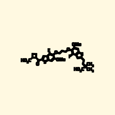 COc1cc2sc(CCC(C)(C)C(=O)O)cc2c(F)c1OCCCOc1c(OC)cc2sc(C(=O)[C@@H]3CC[C@H]3C(=O)O)cc2c1F